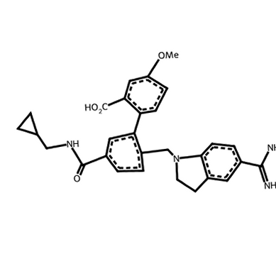 COc1ccc(-c2cc(C(=O)NCC3CC3)ccc2CN2CCc3cc(C(=N)N)ccc32)c(C(=O)O)c1